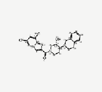 O=C(c1cn2cc(Cl)cc(Cl)c2n1)N1CC[C@H](N2CCc3ccccc3C2)[C@@H](O)C1